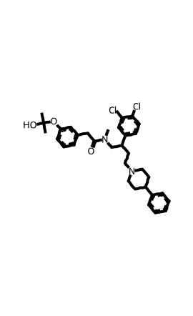 CN(CC(CCN1CCC(c2ccccc2)CC1)c1ccc(Cl)c(Cl)c1)C(=O)Cc1cccc(OC(C)(C)O)c1